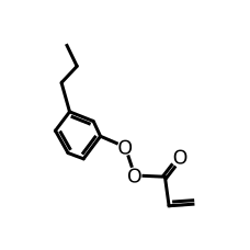 C=CC(=O)OOc1cccc(CCC)c1